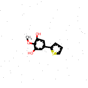 COc1c(O)cc(-c2cccs2)cc1O